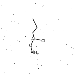 CC[CH2][Al]([Cl])[O][AlH2]